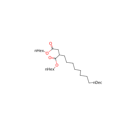 CCCCCCCCCCCCCCCCCCC(CC(=O)OCCCCCC)C(=O)OCCCCCC